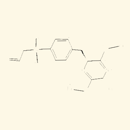 C=CC[Si](C)(C)c1ccc(C[C@@H]2N=C(OCC)[C@@H](C(C)C)N=C2OCC)cc1